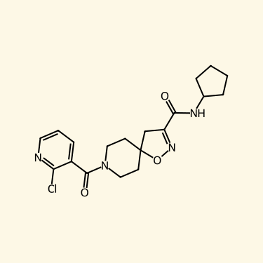 O=C(NC1CCCC1)C1=NOC2(CCN(C(=O)c3cccnc3Cl)CC2)C1